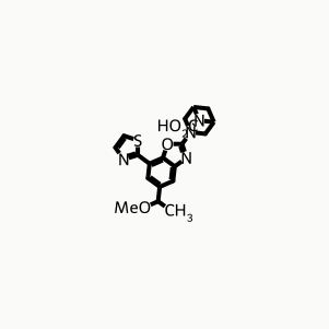 COC(C)c1cc(-c2nccs2)c2oc(N3CC4CC(C3)N4C(=O)O)nc2c1